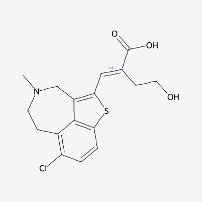 CN1CCc2c(Cl)ccc3sc(/C=C(\CCO)C(=O)O)c(c23)C1